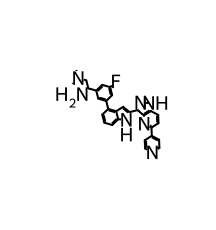 CN(C)CC(N)c1cc(F)cc(-c2cccc3[nH]c(-c4n[nH]c5ccc(-c6ccncc6)nc45)cc23)c1